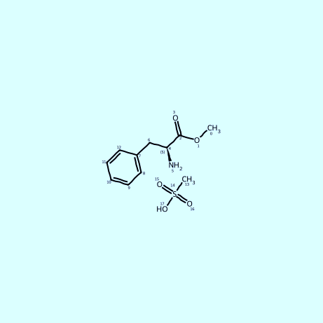 COC(=O)[C@@H](N)Cc1ccccc1.CS(=O)(=O)O